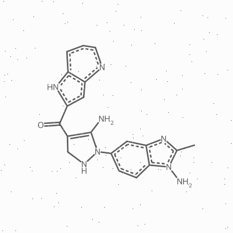 Cc1nc2cc(N3NCC(C(=O)c4cc5ncccc5[nH]4)=C3N)ccc2n1N